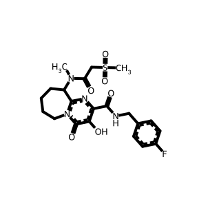 CN(C(=O)CS(C)(=O)=O)C1CCCCn2c1nc(C(=O)NCc1ccc(F)cc1)c(O)c2=O